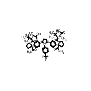 CN(C(=O)O)[C@H](C(=O)N1CCC[C@@]1(C(N)=O)c1ccc([C@H]2CC[C@H](c3ccc([C@]4(C(N)=O)CCCN4C(=O)[C@@H](N(C)C(=O)O)C(C)(C)C)cc3)N2c2ccc(C(F)(F)F)cc2)cc1)C(C)(C)C